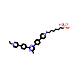 CC[n+]1ccc(-c2ccc(-c3nc(C)cc(-c4ccc(-c5cc[n+](CCCCCCCCP(=O)(O)O)cc5)cc4)n3)cc2)cc1